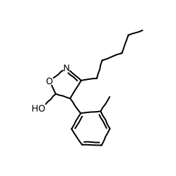 CCCCCC1=NOC(O)C1c1ccccc1C